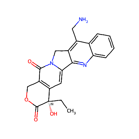 CC[C@@]1(O)C(=O)OCc2c1cc1n(c2=O)Cc2c-1nc1ccccc1c2CN